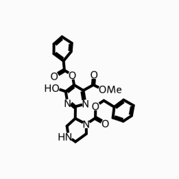 COC(=O)c1nc(C2CNCCN2C(=O)OCc2ccccc2)nc(O)c1OC(=O)c1ccccc1